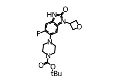 CC(C)(C)OC(=O)N1CCN(c2cc3c(cc2F)[nH]c(=O)n3C2COC2)CC1